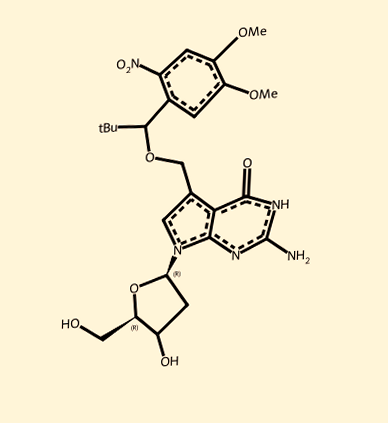 COc1cc(C(OCc2cn([C@H]3CC(O)[C@@H](CO)O3)c3nc(N)[nH]c(=O)c23)C(C)(C)C)c([N+](=O)[O-])cc1OC